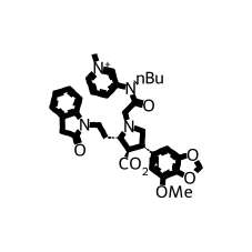 CCCCN(C(=O)CN1C[C@H](c2cc(OC)c3c(c2)OCO3)[C@@H](C(=O)O)[C@@H]1CCN1C(=O)Cc2ccccc21)c1ccc[n+](C)c1